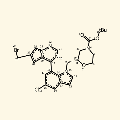 CC(C)(C)OC(=O)N1CCO[C@H](Cn2ccc3cc(Cl)cc(-c4ncnn5cc(CBr)cc45)c32)C1